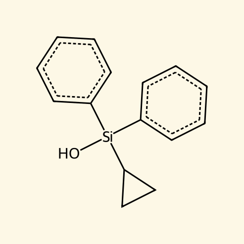 O[Si](c1ccccc1)(c1ccccc1)C1CC1